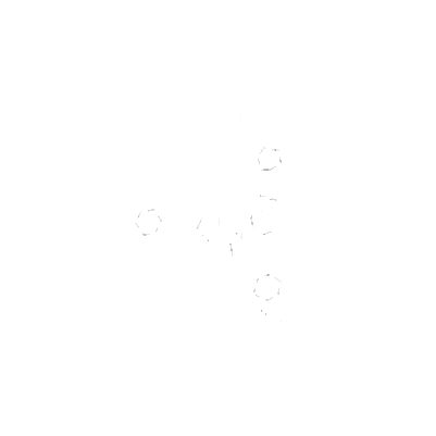 CCCCCCCC[S+]([O-])C(C)Cc1ccc2c(c1)OCO2.CS(=O)(=O)OC1=C(C(=O)OCc2ccc([N+](=O)[O-])cc2)N2C(=O)C(NC(=O)COc3ccccc3)[C@H]2SC1